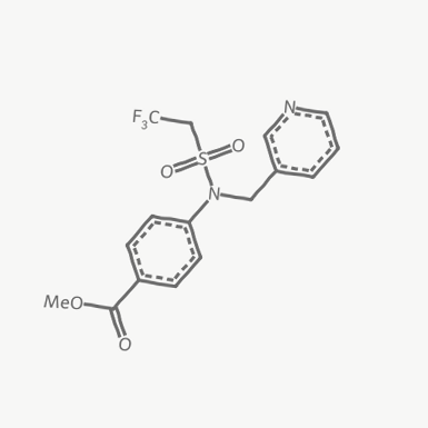 COC(=O)c1ccc(N(Cc2cccnc2)S(=O)(=O)CC(F)(F)F)cc1